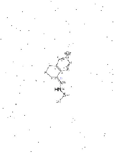 Brc1ccc2c(c1)CCC/C2=N\NSI